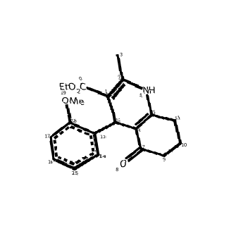 CCOC(=O)C1=C(C)NC2=C(C(=O)CCC2)C1c1ccccc1OC